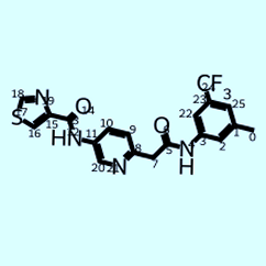 Cc1cc(NC(=O)Cc2ccc(NC(=O)c3cscn3)cn2)cc(C(F)(F)F)c1